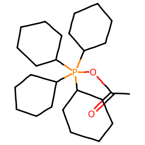 CC(=O)OP(C1CCCCC1)(C1CCCCC1)(C1CCCCC1)C1CCCCC1